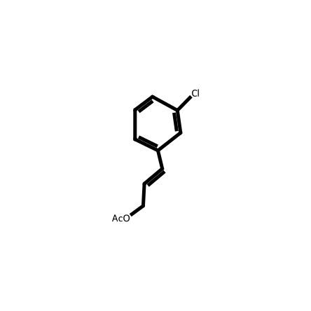 CC(=O)OCC=Cc1cccc(Cl)c1